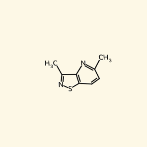 Cc1ccc2snc(C)c2n1